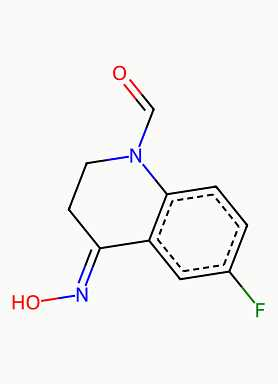 O=CN1CCC(=NO)c2cc(F)ccc21